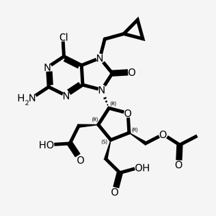 CC(=O)OC[C@@H]1O[C@@H](n2c(=O)n(CC3CC3)c3c(Cl)nc(N)nc32)[C@H](CC(=O)O)[C@@H]1CC(=O)O